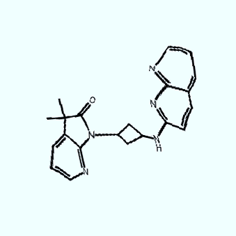 CC1(C)C(=O)N(C2CC(Nc3ccc4cccnc4n3)C2)c2ncccc21